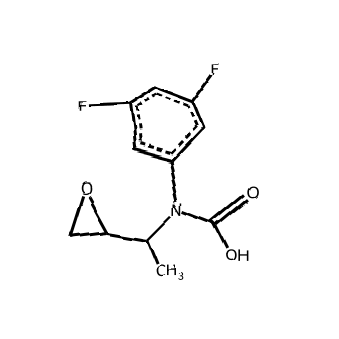 CC(C1CO1)N(C(=O)O)c1cc(F)cc(F)c1